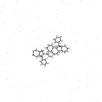 C1=CN(c2nc3ccccc3n2-c2ccccc2)c2cccc3c2c1cc1c2ccccc2n(-c2ccccc2)c31